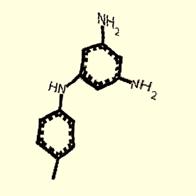 Cc1ccc(Nc2cc(N)cc(N)c2)cc1